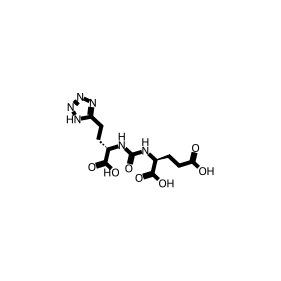 O=C(O)CC[C@H](NC(=O)N[C@@H](CCc1nnn[nH]1)C(=O)O)C(=O)O